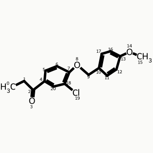 CCC(=O)c1ccc(OCc2ccc(OC)cc2)c(Cl)c1